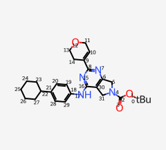 CC(C)(C)OC(=O)N1Cc2nc(C3=CCOCC3)nc(Nc3ccc(C4CCCCC4)cc3)c2C1